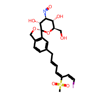 CS(=O)(=O)C(/C=C\I)=C/C=C/Cc1ccc2c(c1)[C@]1(OC2)O[C@H](CO)[C@@H](O)[C@H](N=O)[C@H]1O